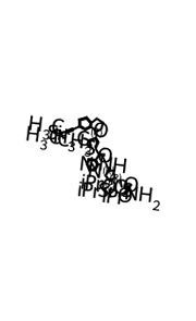 Cc1sc(C(=O)c2cncnc2N[C@@H]2C[C@H](COS(N)(=O)=O)[C@@H](O[Si](C(C)C)(C(C)C)C(C)C)C2)cc1[C@@H]1OCCc2ccc(C#C[Si](C)(C)C)cc21